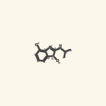 CC(C)Nc1nc2c(Cl)cccc2n1Cl